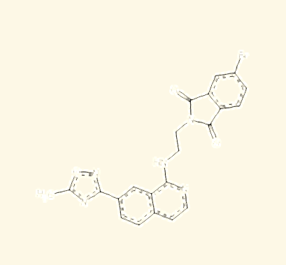 Cc1nc(-c2ccc3ccnc(NCCN4C(=O)c5ccc(Br)cc5C4=O)c3c2)no1